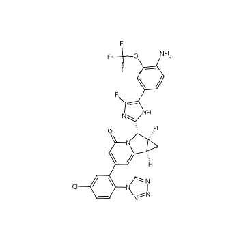 Nc1ccc(-c2[nH]c([C@@H]3[C@H]4C[C@H]4c4cc(-c5cc(Cl)ccc5-n5cnnn5)cc(=O)n43)nc2F)cc1OC(F)(F)F